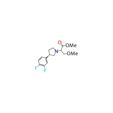 COCC(C(=O)OC)N1CC[C@H](c2ccc(F)c(F)c2)C1